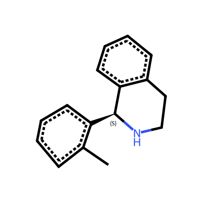 Cc1ccccc1[C@@H]1NCCc2ccccc21